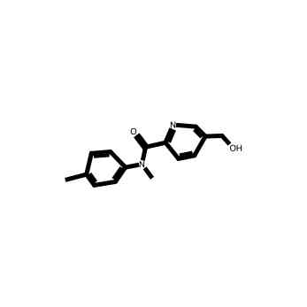 Cc1ccc(N(C)C(=O)c2ccc(CO)cn2)cc1